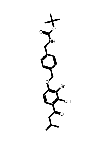 CC(C)CC(=O)c1ccc(OCc2ccc(CNC(=O)OC(C)(C)C)cc2)c(Br)c1O